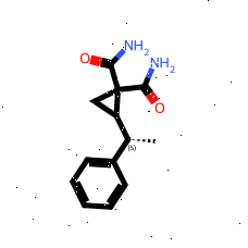 C[C@H](c1ccccc1)C1CC1(C(N)=O)C(N)=O